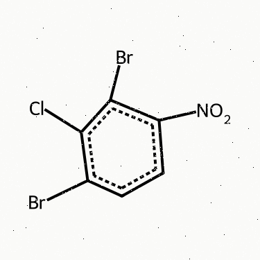 O=[N+]([O-])c1ccc(Br)c(Cl)c1Br